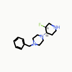 F[C@H]1CNCC[C@@H]1N1CCN(Cc2ccccc2)CC1